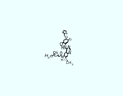 CCOc1cc2ncnc(NC3=CC(=O)C(OCc4cccs4)=CC3=O)c2cc1NC(=O)C=CCN(C)C